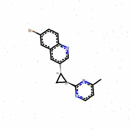 Cc1ccnc([C@H]2C[C@@H]2c2cnc3ccc(Br)cc3c2)n1